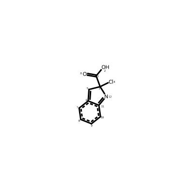 O=C(O)C1(Cl)C=c2ccccc2=N1